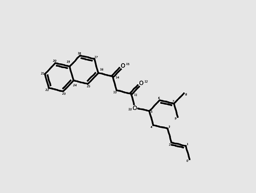 CC=CCCC(C=C(C)C)OC(=O)CC(=O)c1ccc2ccccc2c1